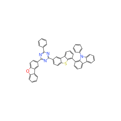 c1ccc(-c2nc(-c3ccc4oc5ccccc5c4c3)nc(-c3ccc4sc5c(-c6cccc7c8ccccc8n(-c8ccccc8)c67)cccc5c4c3)n2)cc1